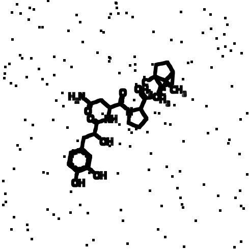 CC1(C)C2CCC1(C)C(OC(=O)C1CCCN1C(=O)C(CC(N)=O)NC(=O)C(O)Cc1ccc(O)c(O)c1)C2